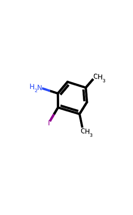 Cc1cc(C)c(I)c(N)c1